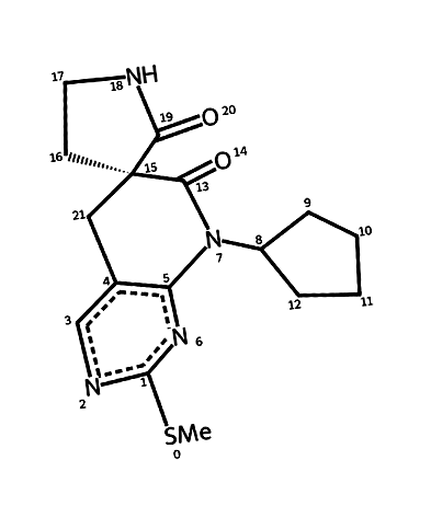 CSc1ncc2c(n1)N(C1CCCC1)C(=O)[C@@]1(CCNC1=O)C2